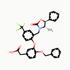 C[C@H]1[C@H](c2ccccc2)OC(=O)N1Cc1cc(C(F)(F)F)ccc1Oc1cc(CC(=O)O)ccc1OCc1ccccc1